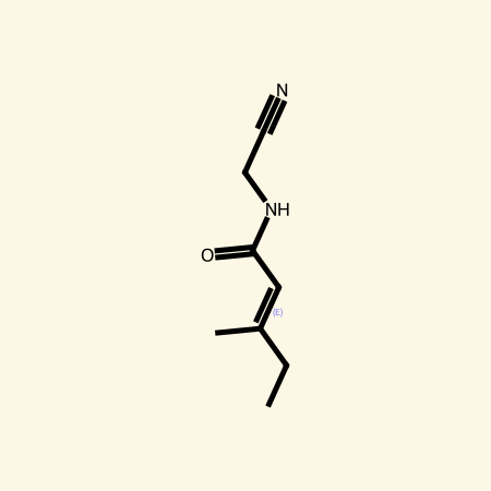 CC/C(C)=C/C(=O)NCC#N